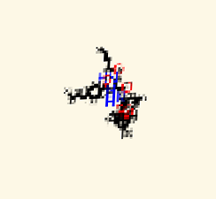 CCCCCC(=O)NC[C@H](NC(=O)c1ccc(CCCC)cc1)C(=O)N[C@@H](CC(C)C)B1O[C@@H]2C[C@@H]3C[C@@H](C3(C)C)[C@]2(C)O1